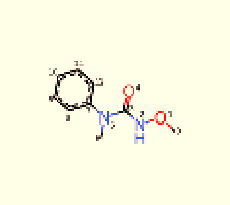 CONC(=O)N(C)c1ccccc1